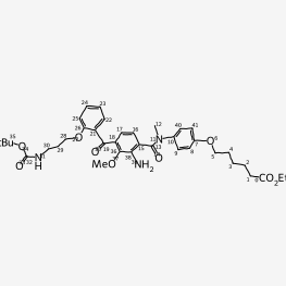 CCOC(=O)CCCCCOc1ccc(N(C)C(=O)c2ccc(C(=O)c3ccccc3OCCCNC(=O)OC(C)(C)C)c(OC)c2N)cc1